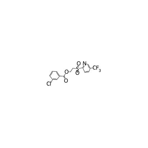 O=C(OCCS(=O)(=O)c1ccc(C(F)(F)F)cn1)c1cccc(Cl)c1